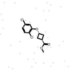 COC(=O)[C@H]1C[C@H](Oc2cc(Cl)ccc2Cl)C1